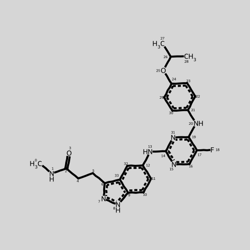 CNC(=O)CCc1n[nH]c2ccc(Nc3ncc(F)c(Nc4ccc(OC(C)C)cc4)n3)cc12